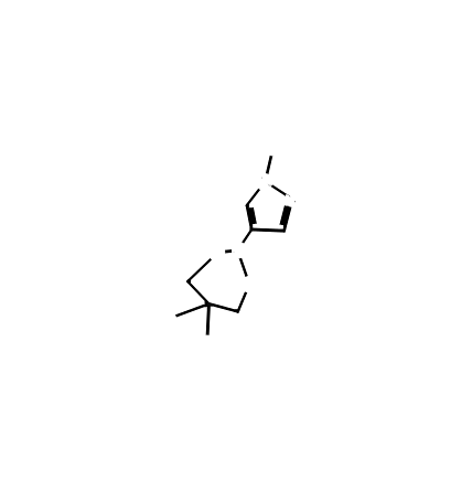 Cn1cc(B2OCC(C)(C)CO2)cn1